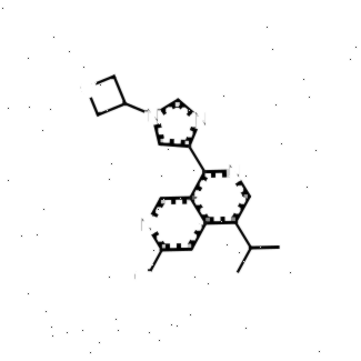 CC(C)c1cnc(-c2cn(C3COC3)cn2)c2cnc(Cl)cc12